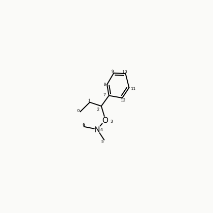 CCC(ON(C)C)c1ccccc1